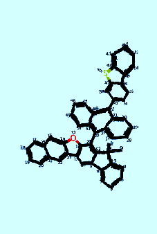 CC1(C)c2ccccc2-c2cc3c(oc4cc5ccccc5cc43)c(-c3c4ccccc4c(-c4ccc5c(c4)sc4ccccc45)c4ccccc34)c21